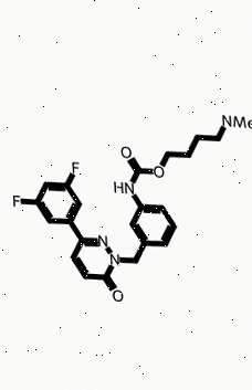 CNCCCCOC(=O)Nc1cccc(Cn2nc(-c3cc(F)cc(F)c3)ccc2=O)c1